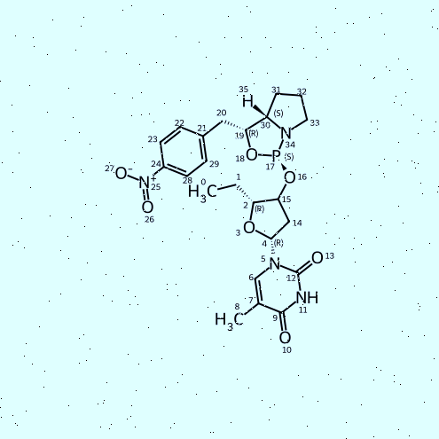 CC[C@H]1O[C@@H](n2cc(C)c(=O)[nH]c2=O)CC1O[P@@]1O[C@H](Cc2ccc([N+](=O)[O-])cc2)[C@@H]2CCCN21